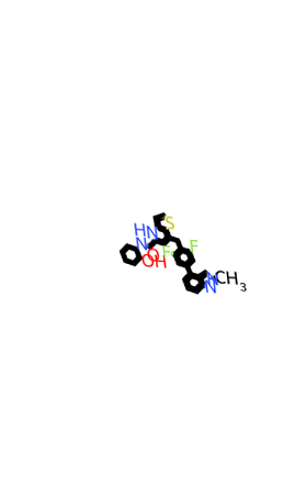 Cn1cc2c(-c3cc(F)c(Cc4cc(C(=O)N[C@H]5CCCC[C@@H]5O)nc5ccsc45)c(F)c3)cccc2n1